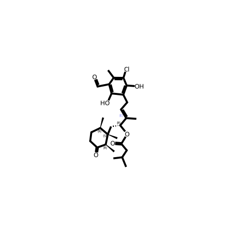 C/C(=C\Cc1c(O)c(Cl)c(C)c(C=O)c1O)[C@@H](C[C@@]1(C)[C@H](C)CCC(=O)[C@@H]1C)OC(=O)CC(C)C